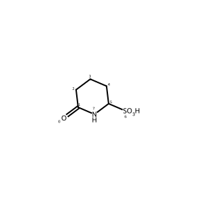 O=C1CCCC(S(=O)(=O)O)N1